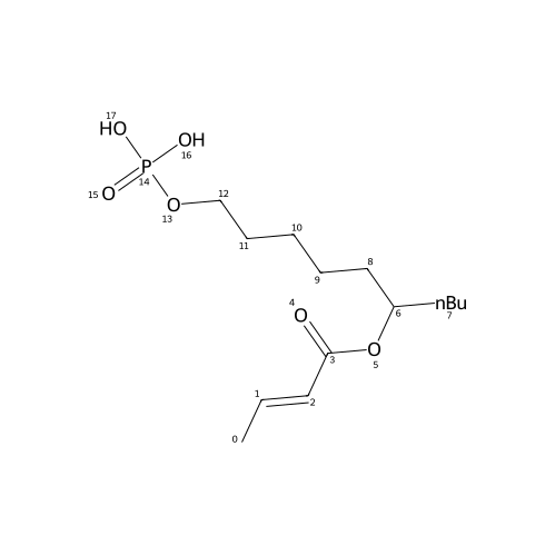 CC=CC(=O)OC(CCCC)CCCCCOP(=O)(O)O